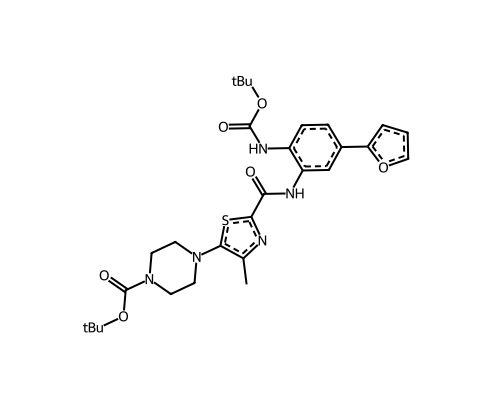 Cc1nc(C(=O)Nc2cc(-c3ccco3)ccc2NC(=O)OC(C)(C)C)sc1N1CCN(C(=O)OC(C)(C)C)CC1